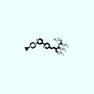 C=C/C(=C\C=C1\C=NC(c2ccnc(N3CCN(C4CC4)CC3)c2)=CC1)C(=C)S/C(C)=N\C